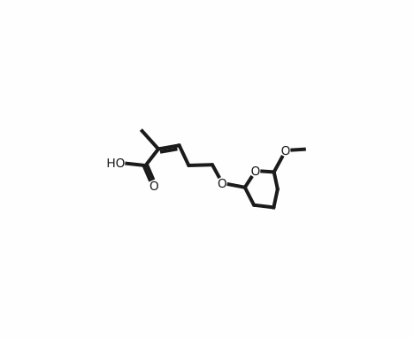 COC1CCCC(OCCC=C(C)C(=O)O)O1